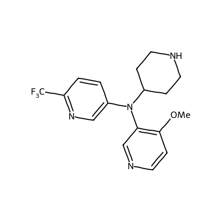 COc1ccncc1N(c1ccc(C(F)(F)F)nc1)C1CCNCC1